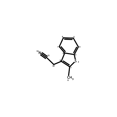 Cc1sc2ccccc2c1CC#N